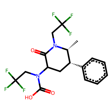 C[C@@H]1[C@H](c2ccccc2)CC(N(CC(F)(F)F)C(=O)O)C(=O)N1CC(F)(F)F